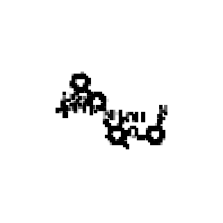 Cc1ccc(CNc2ccc(-c3ccccc3S(=O)(=O)NC(C)(C)C)cn2)c(CO)c1OCc1cccc(C#N)c1